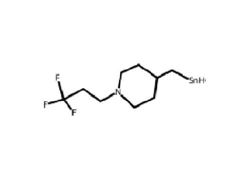 FC(F)(F)CCN1CCC([CH2][SnH])CC1